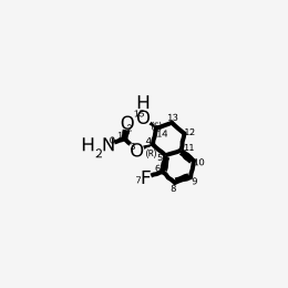 NC(=O)O[C@@H]1c2c(F)cccc2CC[C@@H]1O